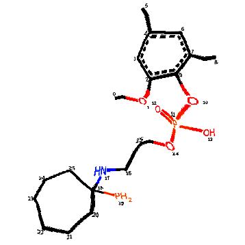 COc1cc(C)cc(C)c1OP(=O)(O)OCCNC1(P)CCCCCC1